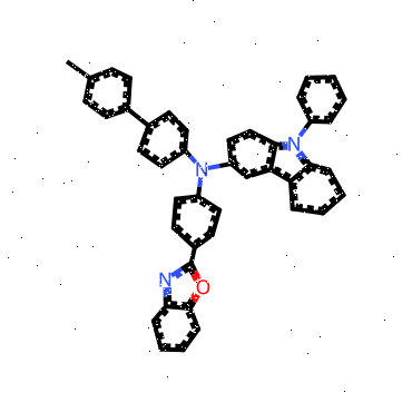 Cc1ccc(-c2ccc(N(c3ccc(-c4nc5ccccc5o4)cc3)c3ccc4c(c3)c3ccccc3n4-c3ccccc3)cc2)cc1